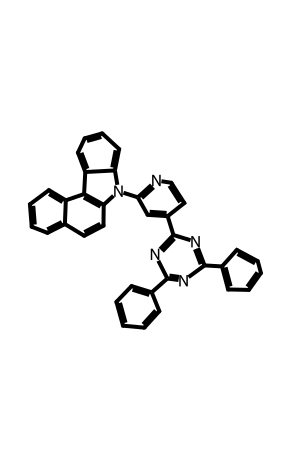 c1ccc(-c2nc(-c3ccccc3)nc(-c3ccnc(-n4c5ccccc5c5c6ccccc6ccc54)c3)n2)cc1